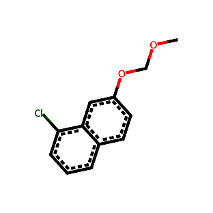 COCOc1ccc2cccc(Cl)c2c1